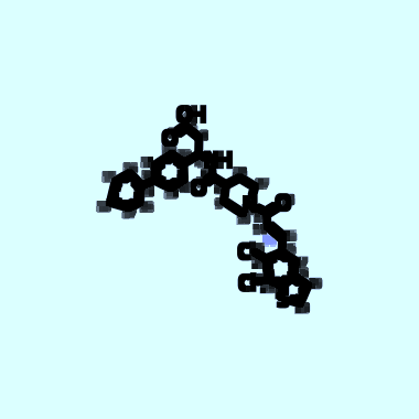 O=C(O)CC(NC(=O)C1CCN(C(=O)/C=C/c2cc3ccsc3c(Cl)c2Cl)CC1)c1ccc(-c2ccccc2)cc1